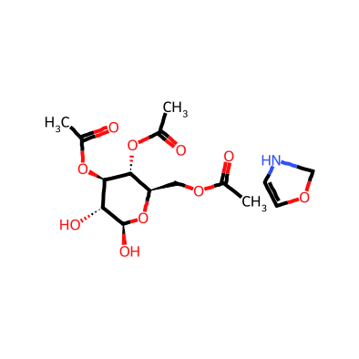 C1=COCN1.CC(=O)OC[C@H]1O[C@@H](O)[C@H](O)[C@@H](OC(C)=O)[C@@H]1OC(C)=O